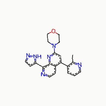 Cc1ncccc1-c1cc(N2CCOCC2)nc2c(-c3ccn[nH]3)nccc12